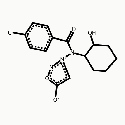 O=C(c1ccc(Cl)cc1)N(C1CCCCC1O)[n+]1cc([O-])on1